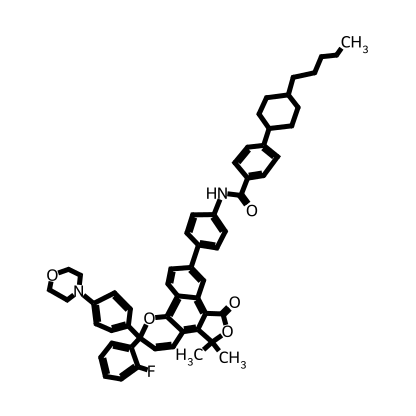 CCCCCC1CCC(c2ccc(C(=O)Nc3ccc(-c4ccc5c6c(c7c(c5c4)C(=O)OC7(C)C)C=CC(c4ccc(N5CCOCC5)cc4)(c4ccccc4F)O6)cc3)cc2)CC1